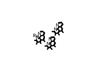 Cc1nc2c(c(C)cc3cccnc32)c(C)c1C.Cc1nc2c(c(C)cc3cccnc32)c(C)c1C.Cc1nc2c(c(C)cc3cccnc32)c(C)c1C.[Ru]